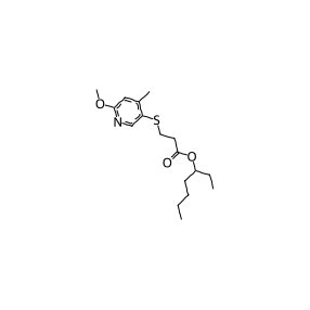 CCCCC(CC)OC(=O)CCSc1cnc(OC)cc1C